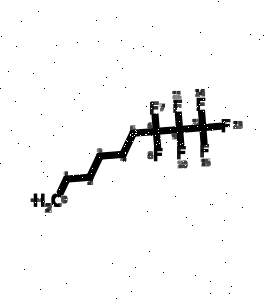 [CH2]CCCCCC(F)(F)C(F)(F)C(F)(F)F